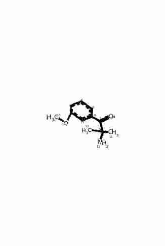 COc1cccc(C(=O)C(C)(C)N)c1